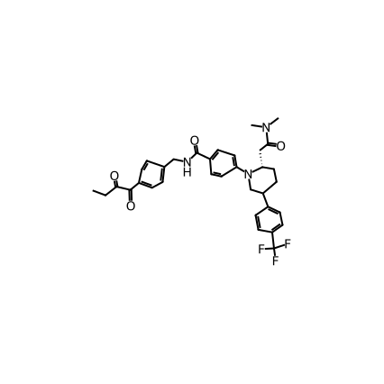 CCC(=O)C(=O)c1ccc(CNC(=O)c2ccc(N3CC(c4ccc(C(F)(F)F)cc4)CC[C@H]3CC(=O)N(C)C)cc2)cc1